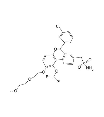 COCCOCCOc1ccc2c(c1OC(F)F)-c1ccc(CS(N)(=O)=O)cc1C(c1cccc(Cl)c1)O2